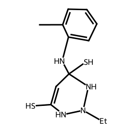 CCN1NC(S)=CC(S)(Nc2ccccc2C)N1